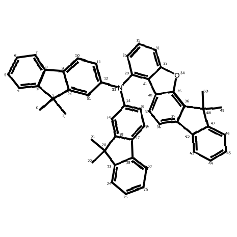 CC1(C)c2ccccc2-c2ccc(N(c3ccc4c(c3)C(C)(C)c3ccccc3-4)c3cccc4oc5c6c(ccc5c34)-c3ccccc3C6(C)C)cc21